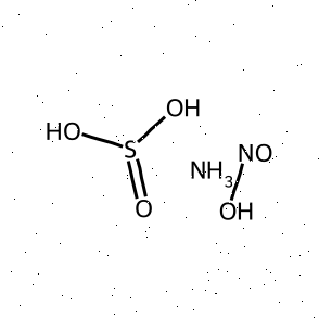 N.O=NO.O=S(O)O